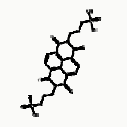 O=C1c2ccc3c4c(ccc(c24)C(=O)N1CCCP(=O)(O)O)C(=O)N(CCCP(=O)(O)O)C3=O